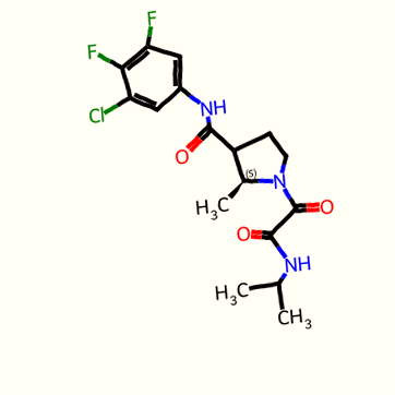 CC(C)NC(=O)C(=O)N1CCC(C(=O)Nc2cc(F)c(F)c(Cl)c2)[C@@H]1C